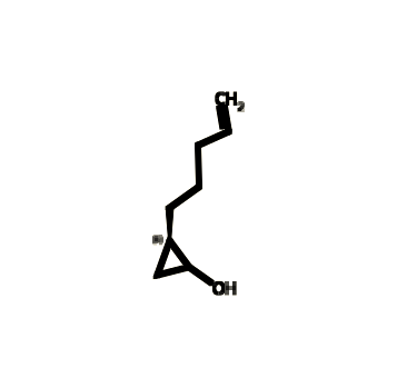 C=CCCC[C@@H]1CC1O